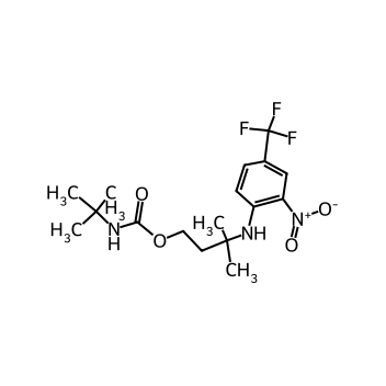 CC(C)(C)NC(=O)OCCC(C)(C)Nc1ccc(C(F)(F)F)cc1[N+](=O)[O-]